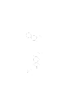 CN(C)C(=O)Cn1c(=O)n(C2CCOCC2)c2nc(N[C@H]3CC[C@@H](Oc4nc(N5CCOCC5)cc5ccccc45)CC3)ncc21